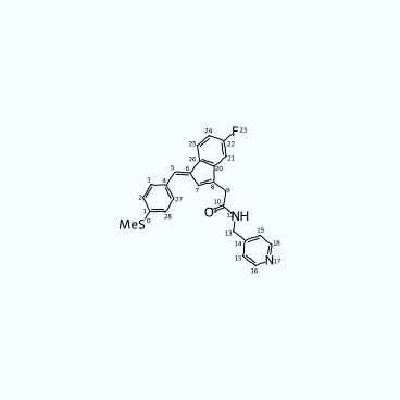 CSc1ccc(/C=C2\C=C(CC(=O)NCc3ccncc3)c3cc(F)ccc32)cc1